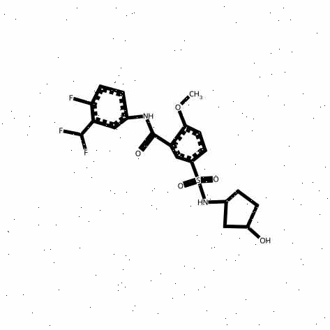 COc1ccc(S(=O)(=O)NC2CCC(O)C2)cc1C(=O)Nc1ccc(F)c(C(F)F)c1